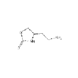 NCCC1COC(=O)N1